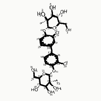 C[C@]1(O)C(O)[C@H](O)C(CO)O[C@@H]1Oc1ccc(-c2ccc(O[C@H]3OC(CO)[C@@H](O)C(O)[C@]3(C)O)c(Cl)c2)cc1Cl